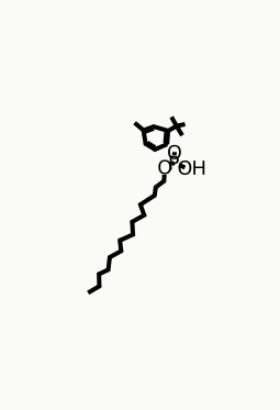 CCCCCCCCCCCCCCOP(O)Oc1ccc(C)cc1C(C)(C)C